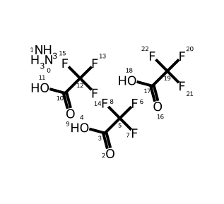 N.N.O=C(O)C(F)(F)F.O=C(O)C(F)(F)F.O=C(O)C(F)(F)F